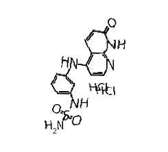 Cl.Cl.NS(=O)(=O)Nc1cccc(Nc2ccnc3[nH]c(=O)ccc23)c1